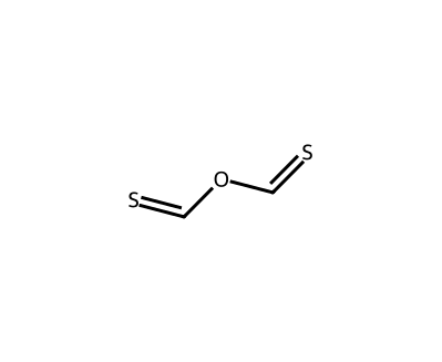 S=COC=S